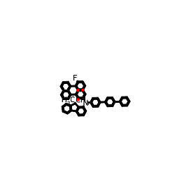 CC1(C)c2ccccc2-c2cccc(N(c3ccc(-c4ccc(-c5ccccc5)cc4)cc3)c3cccc(-c4cccc5cccc(-c6ccccc6F)c45)c3)c21